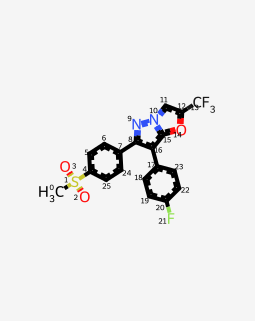 CS(=O)(=O)c1ccc(-c2nn3cc(C(F)(F)F)oc3c2-c2ccc(F)cc2)cc1